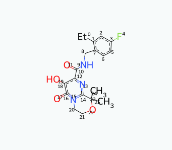 CCc1cc(F)ccc1CNC(=O)c1nc2n(c(=O)c1O)CCOC2(C)C